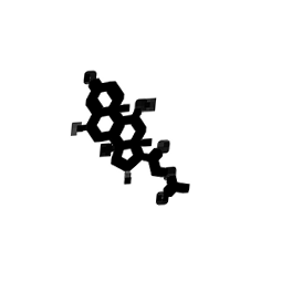 CC(=O)OCC(=O)[C@H]1[C@H](C)C[C@H]2C3=C([C@@H](O)C[C@@]21C)[C@@]1(C)C=CC(=O)C=C1[C@@H](F)C3